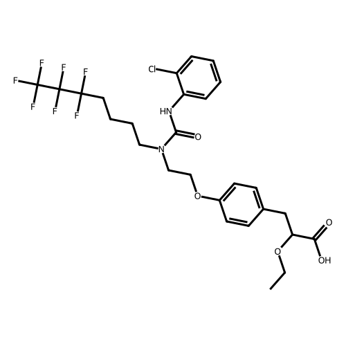 CCOC(Cc1ccc(OCCN(CCCCC(F)(F)C(F)(F)C(F)(F)F)C(=O)Nc2ccccc2Cl)cc1)C(=O)O